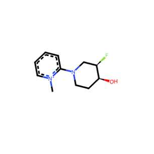 C[n+]1ccccc1N1CC[C@H](O)[C@H](F)C1